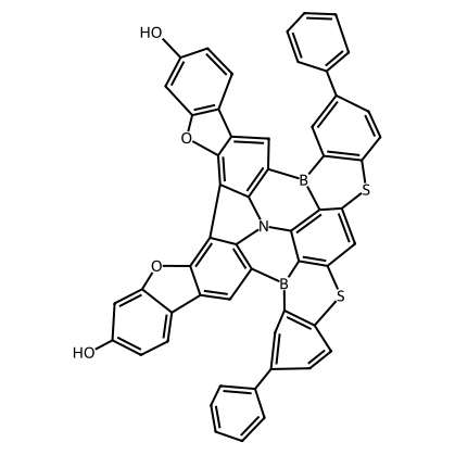 Oc1ccc2c(c1)oc1c2cc2c3c1c1c4oc5cc(O)ccc5c4cc4c1n3-c1c3c(cc5c1B4c1cc(-c4ccccc4)ccc1S5)Sc1ccc(-c4ccccc4)cc1B32